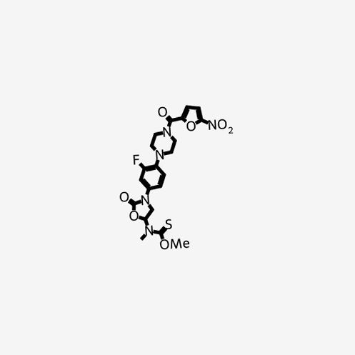 COC(=S)N(C)C1CN(c2ccc(N3CCN(C(=O)c4ccc([N+](=O)[O-])o4)CC3)c(F)c2)C(=O)O1